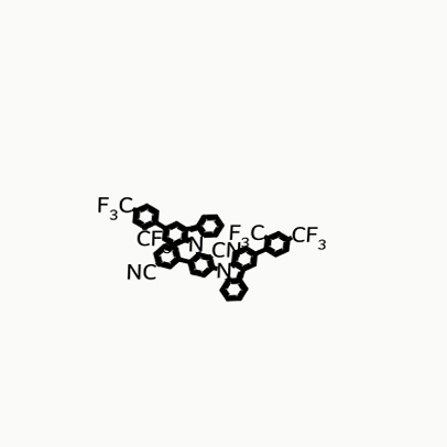 N#Cc1cccc(-c2ccc(-n3c4ccccc4c4cc(-c5ccc(C(F)(F)F)cc5C(F)(F)F)ccc43)c(C#N)c2-n2c3ccccc3c3cc(-c4ccc(C(F)(F)F)cc4C(F)(F)F)ccc32)c1